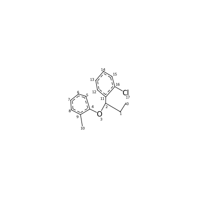 [CH2]CC(Oc1ccccc1C)c1ccccc1Cl